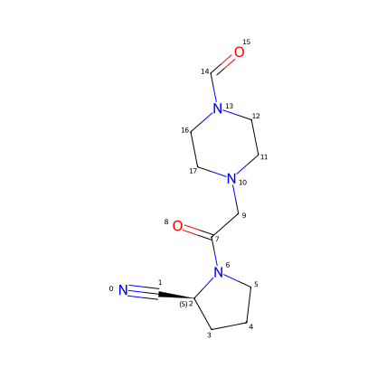 N#C[C@@H]1CCCN1C(=O)CN1CCN(C=O)CC1